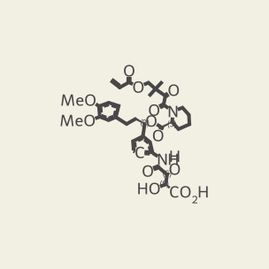 C=CC(=O)OCC(C)(C)C(=O)C(=O)N1CCCC[C@H]1C(=O)O[C@H](CCc1ccc(OC)c(OC)c1)c1cccc(NC(=O)[C@@H](O)[C@H](O)C(=O)O)c1